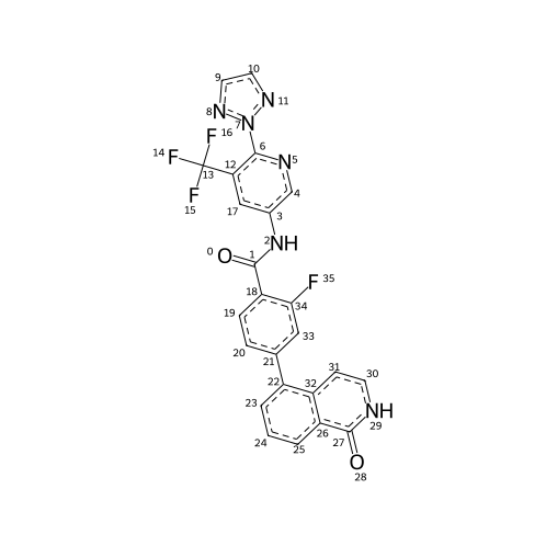 O=C(Nc1cnc(-n2nccn2)c(C(F)(F)F)c1)c1ccc(-c2cccc3c(=O)[nH]ccc23)cc1F